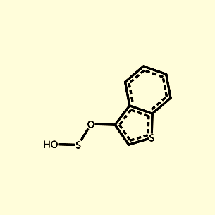 OSOc1csc2ccccc12